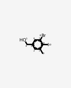 Cc1cc(CO)cc(Br)c1I